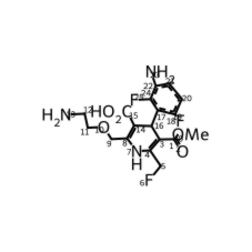 COC(=O)C1=C(CF)NC(COCCN)=C(C(=O)O)C1c1c(F)ccc(N)c1F